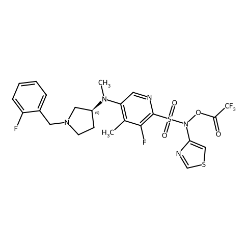 Cc1c(N(C)[C@H]2CCN(Cc3ccccc3F)C2)cnc(S(=O)(=O)N(OC(=O)C(F)(F)F)c2cscn2)c1F